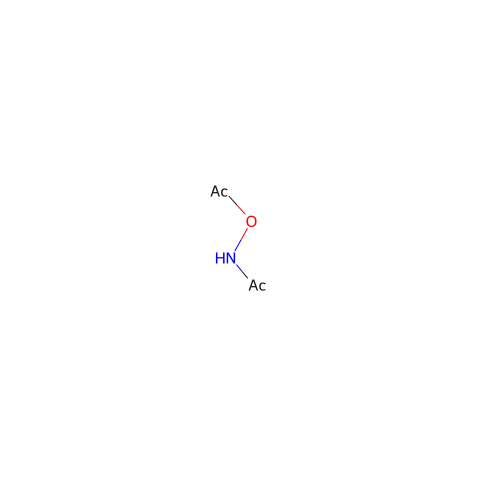 CC(=O)NOC(C)=O